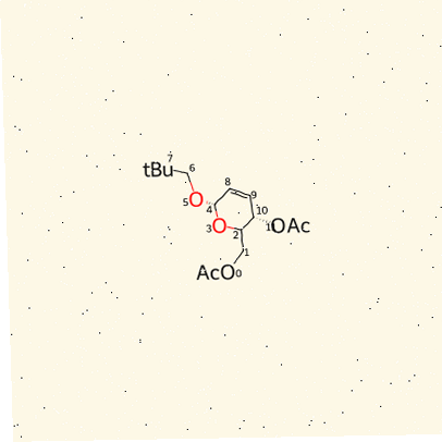 CC(=O)OCC1O[C@H](OCC(C)(C)C)C=C[C@@H]1OC(C)=O